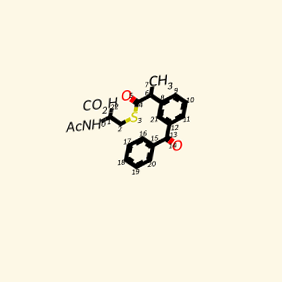 CC(=O)NC(CSC(=O)C(C)c1cccc(C(=O)c2ccccc2)c1)C(=O)O